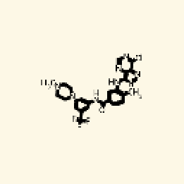 Cc1ccc(C(=O)Nc2cc(N3CCN(C)CC3)cc(C(F)(F)F)c2)cc1Nc1ncnc2c(Cl)ncnc12